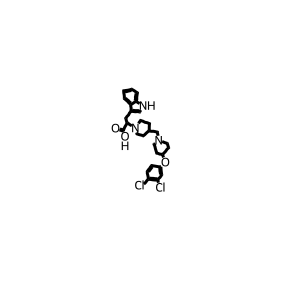 O=C(O)C(Cc1c[nH]c2ccccc12)N1CCC(CN2CCC(Oc3ccc(Cl)c(Cl)c3)CC2)CC1